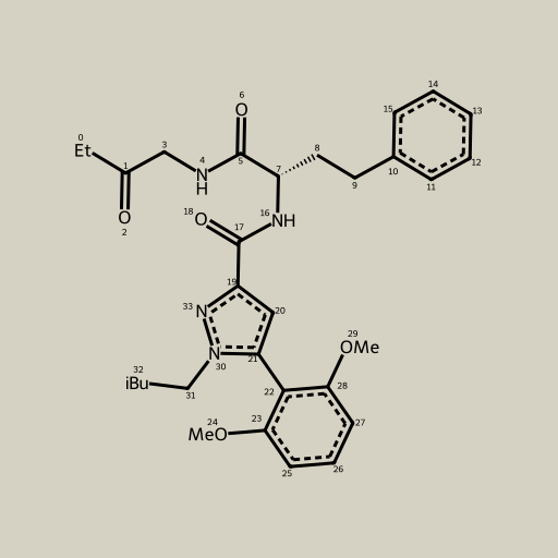 CCC(=O)CNC(=O)[C@H](CCc1ccccc1)NC(=O)c1cc(-c2c(OC)cccc2OC)n(CC(C)CC)n1